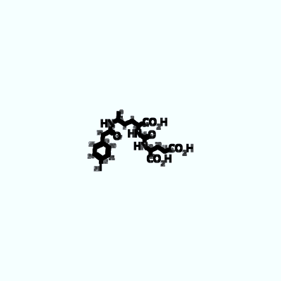 CC(CCC(NC(=O)NC(CCC(=O)O)C(=O)O)C(=O)O)NC(=O)Cc1ccc(I)cc1